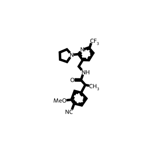 COc1cc(C(C)C(=O)NCc2ccc(C(F)(F)F)nc2N2CCCC2)ccc1C#N